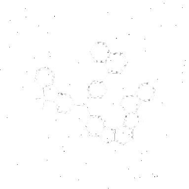 C[Si]1(C)c2ccccc2-c2cc(N(c3ccc(-c4cccc5ccccc45)cc3)c3ccc4sc5ccc6oc7c8ccccc8ccc7c6c5c4c3)ccc21